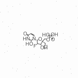 O=C1C=CN([C@@H]2O[C@](CCl)(COP(=O)(O)O)[C@@H](O)[C@H]2F)C(O)N1